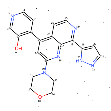 Oc1cnccc1-c1cc(N2CCOCC2)nc2c(-c3ccn[nH]3)nccc12